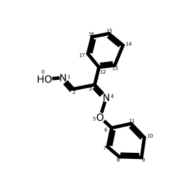 ON=CC(=NOc1ccccc1)c1ccccc1